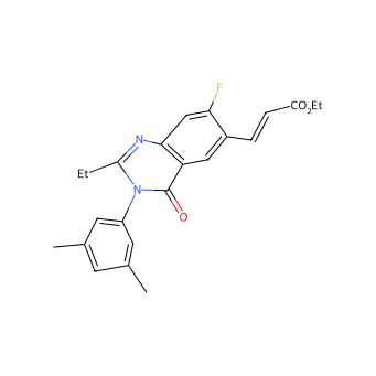 CCOC(=O)/C=C/c1cc2c(=O)n(-c3cc(C)cc(C)c3)c(CC)nc2cc1F